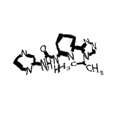 CC(C)n1cnnc1-c1cccc(NC(=O)Nc2cnccn2)n1